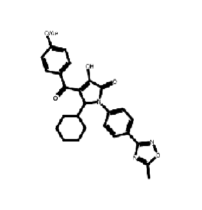 COc1ccc(C(=O)C2=C(O)C(=O)N(c3ccc(-c4noc(C)n4)cc3)C2C2CCCCC2)cc1